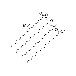 CCCCCCCCCCCCCCCC(=O)[O-].CCCCCCCCCCCCCCCC(=O)[O-].CCCCCCCCCCCCCCCC(=O)[O-].CCCCCCCCCCCCCCCC(=O)[O-].[Mo+4]